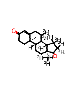 [2H]C1CC2=CC(=O)CC[C@]2(C)[C@H]2CC[C@]3(C([2H])([2H])[2H])C(=O)C([2H])([2H])C([2H])([2H])[C@@]3([2H])[C@]12[2H]